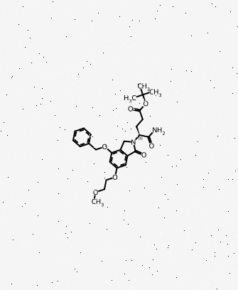 COCCOc1cc(OCc2ccccc2)c2c(c1)C(=O)N([C@@H](CCC(=O)OC(C)(C)C)C(N)=O)C2